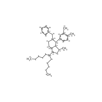 CCCCCN(CCCCC)N1CC(C)[C]2C(c3ccc(C)c(C)c3)N(Cc3ccccc3)CCN21